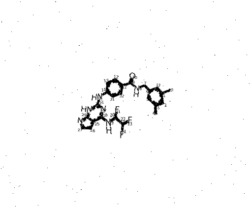 Cc1cc(C)cc(CNC(=O)c2ccc(Nc3nc(NC(F)C(F)F)c4ccnc-4[nH]3)cc2)c1